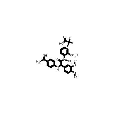 CCOc1ccc(C(Nc2ccc(C(=N)N)cc2)C(=O)N(N)c2ccccc2C(=O)O)cc1OCC.O=C(O)C(F)(F)F